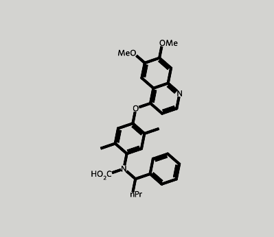 CCCC(c1ccccc1)N(C(=O)O)c1cc(C)c(Oc2ccnc3cc(OC)c(OC)cc23)cc1C